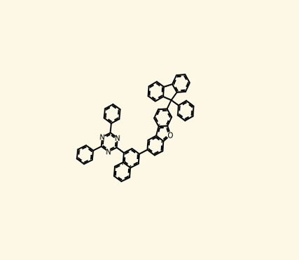 c1ccc(-c2nc(-c3ccccc3)nc(-c3cc(-c4ccc5oc6cc(C7(c8ccccc8)c8ccccc8-c8ccccc87)ccc6c5c4)cc4ccccc34)n2)cc1